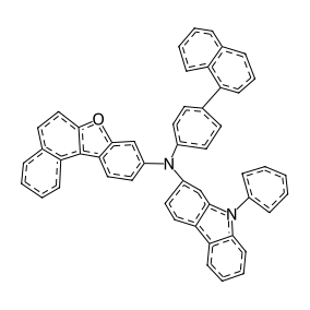 c1ccc(-n2c3ccccc3c3ccc(N(c4ccc(-c5cccc6ccccc56)cc4)c4ccc5c(c4)oc4ccc6ccccc6c45)cc32)cc1